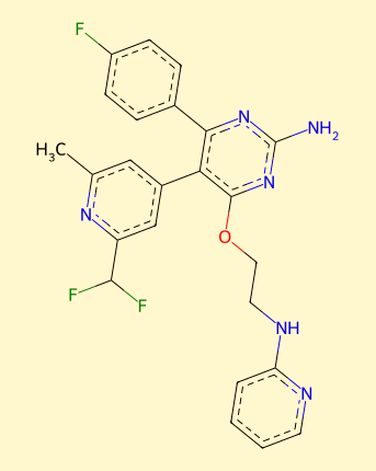 Cc1cc(-c2c(OCCNc3ccccn3)nc(N)nc2-c2ccc(F)cc2)cc(C(F)F)n1